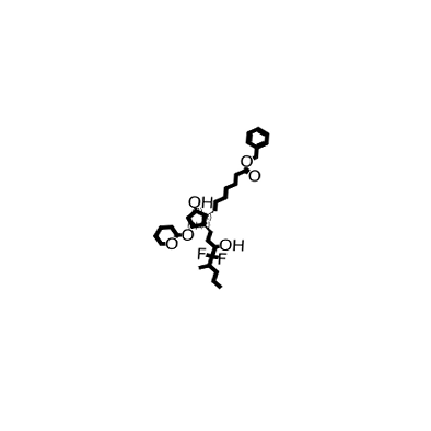 CCCC(C)C(F)(F)C(O)CC[C@@H]1[C@@H](CCCCCCC(=O)OCc2ccccc2)[C@H](O)C[C@H]1OC1CCCCO1